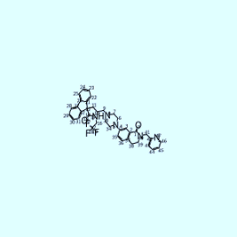 O=C1c2cc(N3CCN(CCCC4(C(=O)NCC(F)(F)F)c5ccccc5-c5ccccc54)CC3)ccc2CCN1Cc1ccccn1